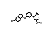 COC(=O)CC(c1cccc(O[C@@H]2CCc3cc(Br)ccc32)c1)C1CC1